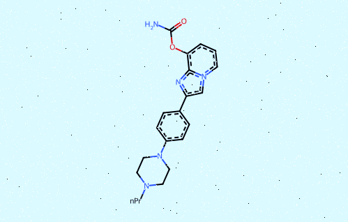 CCCN1CCN(c2ccc(-c3cn4cccc(OC(N)=O)c4n3)cc2)CC1